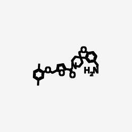 Cc1ccc(C)c(OCc2ccc(C(=O)N3CCC4(CC3)COc3ccc(CN)cc34)o2)c1